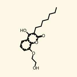 CCCCCCCc1c(O)c2cccc(OCCO)c2oc1=O